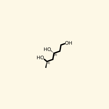 C[C@@H](O)C[C@H](O)CCO